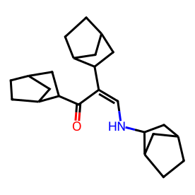 O=C(C(=CNC1CC2CCC1C2)C1CC2CCC1C2)C1CC2CCC1C2